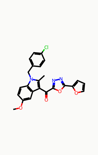 COc1ccc2c(c1)c(C(=O)c1nnc(-c3ccco3)o1)c(C)n2Cc1ccc(Cl)cc1